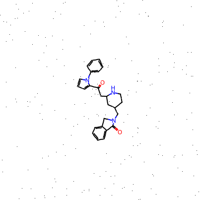 O=C(CC1CC(CN2Cc3ccccc3C2=O)CCN1)c1cccn1-c1ccccc1